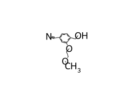 COCCOc1cc(C#N)ccc1CO